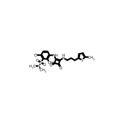 Cc1ccc(CCCNc2c(Nc3ccc(Cl)c(S(=O)(=O)N(C)C)c3O)c(=O)c2=O)s1